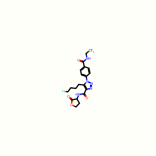 O=C(NCC(F)(F)F)c1ccc(-n2nnc(C(=O)NC3CCOC3=O)c2CCCCF)cc1